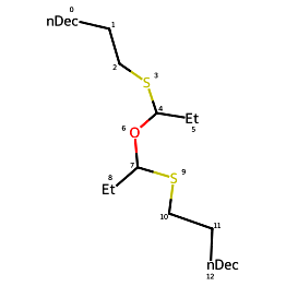 CCCCCCCCCCCCSC(CC)OC(CC)SCCCCCCCCCCCC